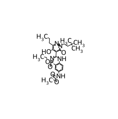 CCCc1nn(CCC(C)(C)C)c(=O)c(C2=NP(=O)(OCC)c3cc(NS(C)(=O)=O)ccc3N2)c1O